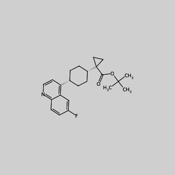 CC(C)(C)OC(=O)C1([C@H]2CC[C@@H](c3ccnc4ccc(F)cc43)CC2)CC1